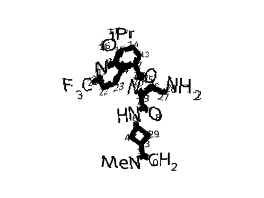 C=C(NC)C1CC(NC(=O)c2nc(-c3ccc(OC(C)C)c4nc(C(F)(F)F)ccc34)oc2CN)C1